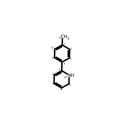 Cc1ccc(C2=CC=CCN2)cc1